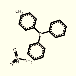 C.N[SH](=O)=O.c1ccc(P(c2ccccc2)c2ccccc2)cc1